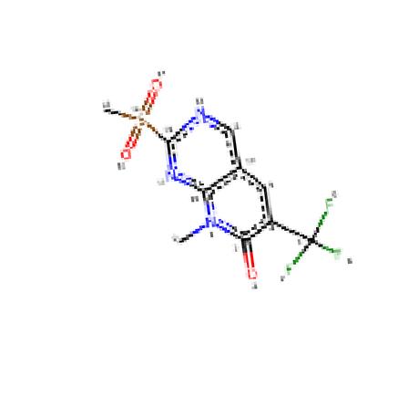 Cn1c(=O)c(C(F)(F)F)cc2cnc(S(C)(=O)=O)nc21